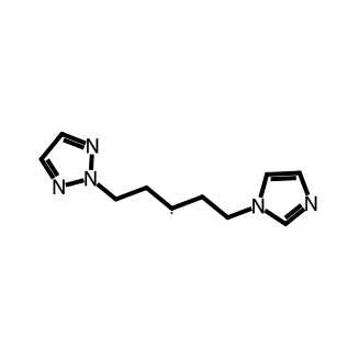 [CH](CCn1ccnc1)CCn1nccn1